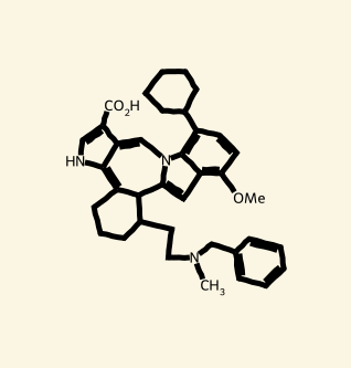 COc1ccc(C2CCCCC2)c2c1cc1n2C=c2c(C(=O)O)c[nH]c2=C2CCCC(CCN(C)Cc3ccccc3)C21